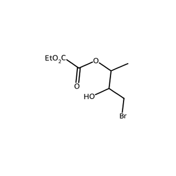 CCOC(=O)C(=O)OC(C)C(O)CBr